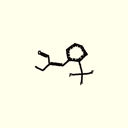 CCC(C=O)=Cc1ccccc1C(F)(F)F